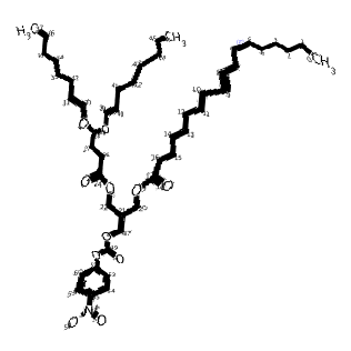 CCCCC/C=C\CC=CCCCCCCCC(=O)OCC(COC(=O)CCC(OCCCCCCCC)OCCCCCCCC)COC(=O)Oc1ccc([N+](=O)[O-])cc1